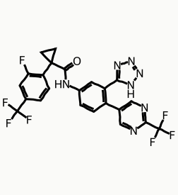 O=C(Nc1ccc(-c2cnc(C(F)(F)F)nc2)c(-c2nnn[nH]2)c1)C1(c2ccc(C(F)(F)F)cc2F)CC1